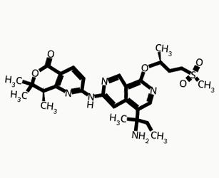 CCC(C)(N)c1cnc(O[C@@H](C)CCS(C)(=O)=O)c2cnc(Nc3ccc4c(n3)[C@@H](C)C(C)(C)OC4=O)cc12